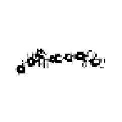 N=C(c1ccc(Oc2ccccc2)cc1)c1c(N)ncnc1NC1CC2(CCN(C3CCN(c4ccc5c(c4)C(=O)N(C4CCC(=O)NC4=O)C5=O)CC3)CC2)C1